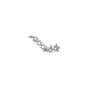 CCCCC1COC(C2CCC(C3CCC(C(F)(F)Oc4ccc(-c5cc(F)c(F)c(F)c5)c(F)c4)CC3)CC2)OC1